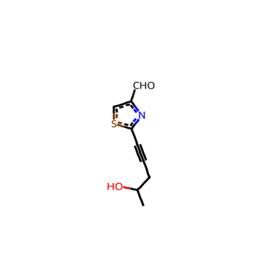 CC(O)CC#Cc1nc(C=O)cs1